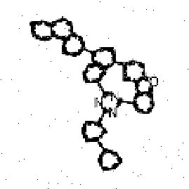 c1ccc(-c2cccc(-c3nc(-c4ccccc4)nc(-c4cccc5oc6ccc(-c7ccc(-c8ccc9c(ccc%10ccccc%109)c8)cc7)cc6c45)n3)c2)cc1